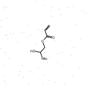 C=CC(=O)OCC(O)CCCC